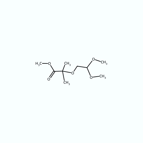 COC(=O)C(C)(C)OCC(OC)OC